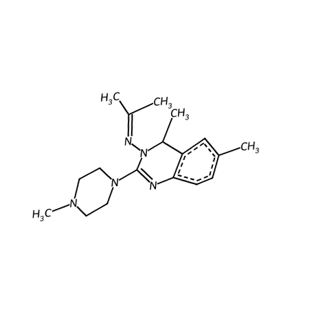 CC(C)=NN1C(N2CCN(C)CC2)=Nc2ccc(C)cc2C1C